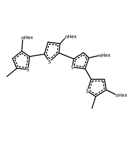 CCCCCCc1cc(-c2sc(-c3sc(-c4sc(C)cc4CCCCCC)cc3CCCCCC)cc2CCCCCC)sc1C